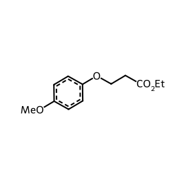 CCOC(=O)CCOc1ccc(OC)cc1